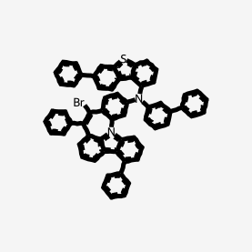 BrC1=C(c2ccccc2)c2cccc3c4c(-c5ccccc5)cccc4n(c23)-c2cc(N(c3cccc(-c4ccccc4)c3)c3cccc4sc5cc(-c6ccccc6)ccc5c34)ccc21